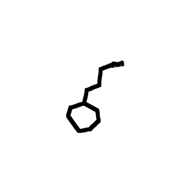 CCCCCCCC[C]1CCCCCC1